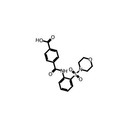 O=C(O)c1ccc(C(=O)Nc2ccccc2S(=O)(=O)N2CCOCC2)cc1